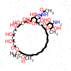 CC(=O)NNC(=O)[C@H]1[C@@H]2C[C@@H](O[C@H]3O[C@@H](C)[C@@H](O)[C@H](N)[C@@H]3O)/C=C/C=C/C=C/C=C/C=C/C=C/C=C/[C@H](C)[C@@H](O)[C@@H](C)[C@H](C)OC(=O)C[C@H](O)C[C@H](O)CC[C@@H](O)[C@H](O)C[C@H](O)C[C@](O)(C[C@@H]1O)O2